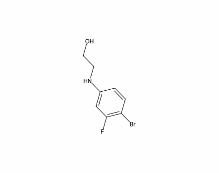 OCCNc1ccc(Br)c(F)c1